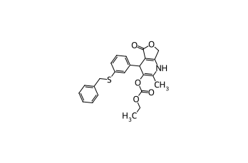 CCOC(=O)OC1=C(C)NC2=C(C(=O)OC2)C1c1cccc(SCc2ccccc2)c1